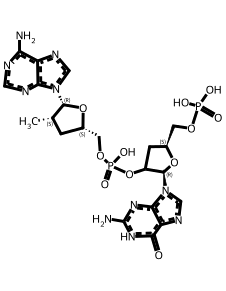 C[C@H]1C[C@@H](COP(=O)(O)OC2C[C@@H](COP(=O)(O)O)O[C@H]2n2cnc3c(=O)[nH]c(N)nc32)O[C@H]1n1cnc2c(N)ncnc21